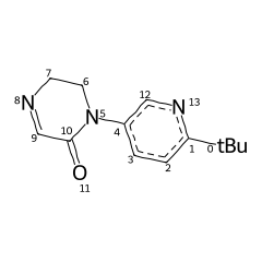 CC(C)(C)c1ccc(N2CCN=CC2=O)cn1